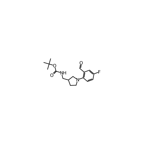 CC(C)(C)OC(=O)NCC1CCN(c2ccc(F)cc2C=O)C1